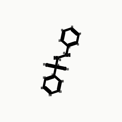 O=S(=O)(NNc1ccccc1)c1ccccc1